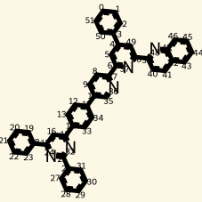 c1ccc(-c2cc(-c3ccc(-c4ccc(-c5cc(-c6ccccc6)nc(-c6ccccc6)n5)cc4)cn3)nc(-c3ccc4ccccc4n3)c2)cc1